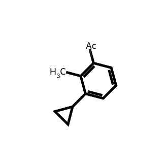 CC(=O)c1cccc(C2CC2)c1C